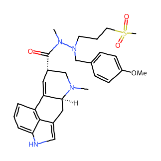 COc1ccc(CN(CCCS(C)(=O)=O)N(C)C(=O)[C@H]2C=C3c4cccc5[nH]cc(c45)C[C@@H]3N(C)C2)cc1